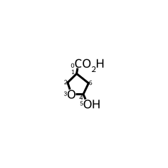 O=C(O)C1COC(O)C1